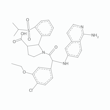 CCOc1cc(C(Nc2ccc3c(N)nccc3c2)C(=O)N2CCC(C(=O)O)C2c2ccccc2S(=O)(=O)C(C)C)ccc1Cl